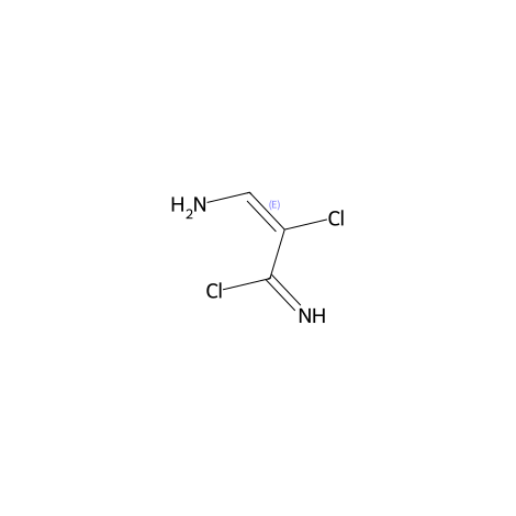 N=C(Cl)/C(Cl)=C\N